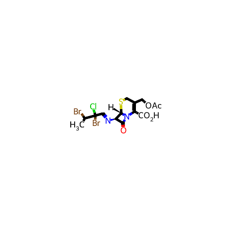 CC(=O)OCC1=C(C(=O)O)N2C(=O)[C@@H](N=CC(Cl)(Br)C(C)Br)[C@@H]2SC1